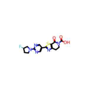 O=C(O)N1CCc2nc(-c3cnc(N4CC[C@@H](F)C4)nc3)sc2C1=O